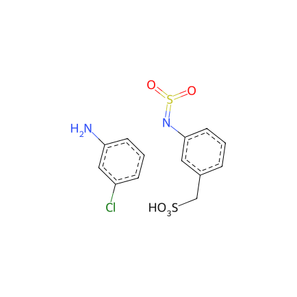 Nc1cccc(Cl)c1.O=S(=O)=Nc1cccc(CS(=O)(=O)O)c1